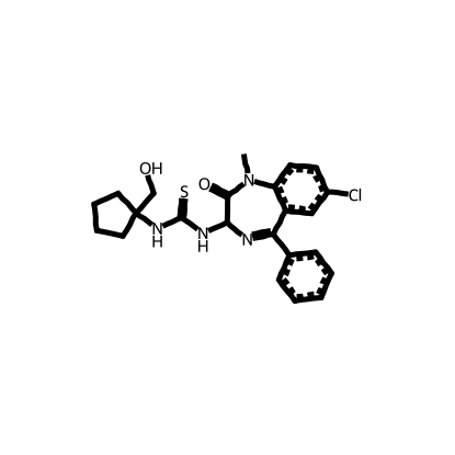 CN1C(=O)C(NC(=S)NC2(CO)CCCC2)N=C(c2ccccc2)c2cc(Cl)ccc21